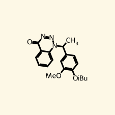 COc1cc(C(C)n2nnc(=O)c3ccccc32)ccc1OCC(C)C